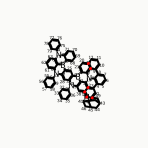 c1ccc(-c2cccc(-c3ccccc3)c2N2c3ccccc3B3c4cc5c(cc4N(c4ccccc4)c4cc(N6C7CC8CC(C7)CC6C8)cc2c43)N(c2ccccc2)c2cccc3c2B5c2ccccc2N3c2ccccc2)cc1